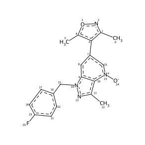 Cc1noc(C)c1-c1cc2c(c(C)nn2Cc2ccc(F)cc2)[n+]([O-])c1